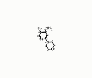 Nc1cc(N2CCOCC2)ncc1F